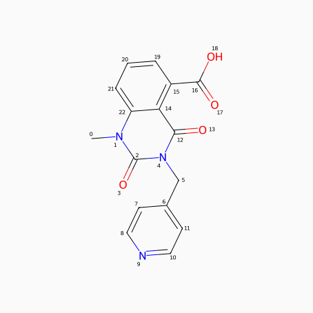 Cn1c(=O)n(Cc2ccncc2)c(=O)c2c(C(=O)O)cccc21